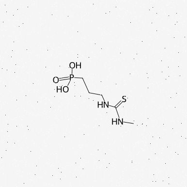 CNC(=S)NCCCP(=O)(O)O